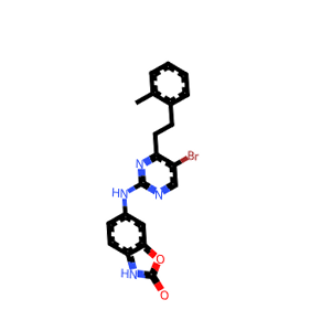 Cc1ccccc1CCc1nc(Nc2ccc3[nH]c(=O)oc3c2)ncc1Br